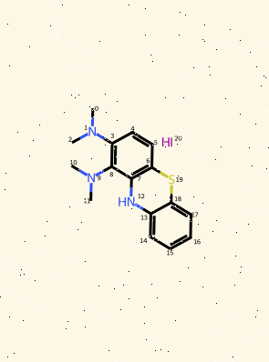 CN(C)c1ccc2c(c1N(C)C)Nc1ccccc1S2.I